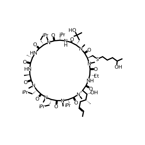 C/C=C/C[C@@H](C)[C@@H](O)[C@H]1C(=O)N[C@@H](CC)C(=O)N(C)[C@H](CSCCCC(C)O)C(=O)N(C)[C@@H](CC(C)(C)O)C(=O)N[C@@H](C(C)C)C(=O)N(C)[C@@H](CC(C)C)C(=O)N[C@@H](C)C(=O)N[C@H](C)C(=O)N(C)[C@@H](CC(C)C)C(=O)N(C)[C@@H](CC(C)C)C(=O)N(C)[C@@H](C(C)C)C(=O)N1C